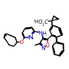 Cc1noc(-c2cc(C3(C(=O)O)CC3)ccc2-c2ccccc2)c1Nc1cccc(OC2CCCCC2)n1